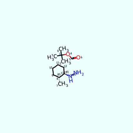 CC(C)(C)OC=O.C[C@@H]1CCCC[C@H]1NN